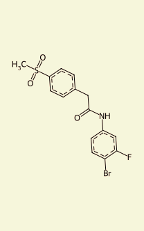 CS(=O)(=O)c1ccc(CC(=O)Nc2ccc(Br)c(F)c2)cc1